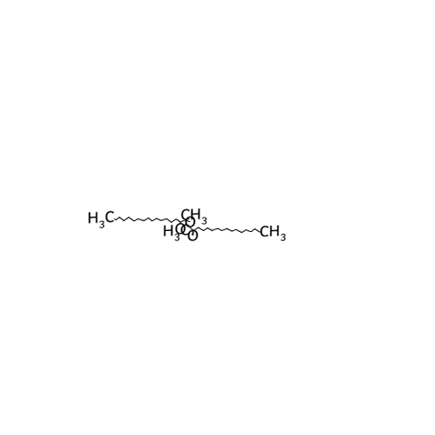 CCCCCCCCCCCCCCCC(=O)C(C)OC(C)C(=O)CCCCCCCCCCCCCCC